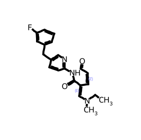 CCN(C)/C=C(\C=C/C=O)C(=O)Nc1ccc(Cc2cccc(F)c2)cn1